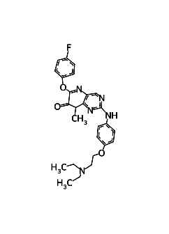 CCN(CC)CCOc1ccc(Nc2ncc3c(n2)C(C)C(=O)C(Oc2ccc(F)cc2)=N3)cc1